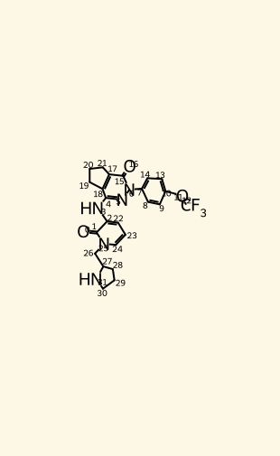 O=c1c(Nc2nn(-c3ccc(OC(F)(F)F)cc3)c(=O)c3c2CCC3)cccn1CC1CCCN1